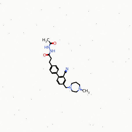 CC(=O)NNC(=O)CCc1ccc(-c2ccc(CN3CCCN(C)CC3)cc2C#N)cc1